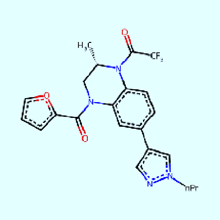 CCCn1cc(-c2ccc3c(c2)N(C(=O)c2ccco2)C[C@H](C)N3C(=O)C(F)(F)F)cn1